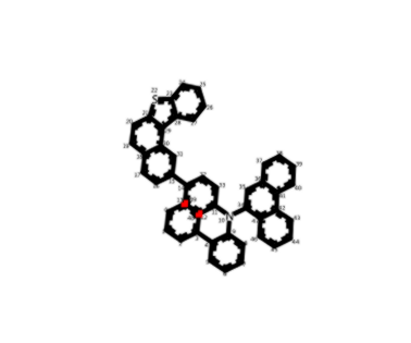 c1ccc(-c2ccccc2N(c2ccc(-c3ccc4ccc5sc6ccccc6c5c4c3)cc2)c2cc3ccccc3c3ccccc23)cc1